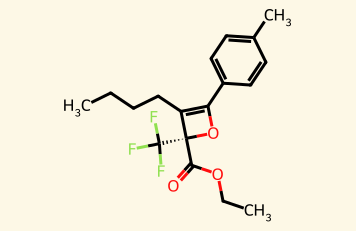 CCCCC1=C(c2ccc(C)cc2)O[C@]1(C(=O)OCC)C(F)(F)F